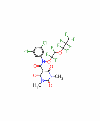 CN1C(=O)C(C(=O)N(OC(F)(F)C(F)OC(F)(F)C(F)(F)C(F)F)c2cc(Cl)cc(Cl)c2)C(=O)N(C)C1=O